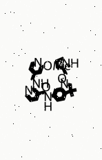 COc1cc(CNc2ncccc2C(=O)Nc2ccc3c(c2)N(OCC2CCCN2)CC3(C)C)ccn1